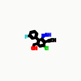 C#Cc1c(Cl)cc(CO)c(-c2cccc(F)c2)c1N=N